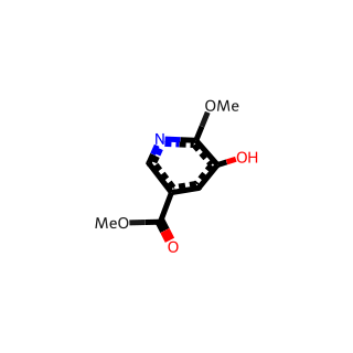 COC(=O)c1cnc(OC)c(O)c1